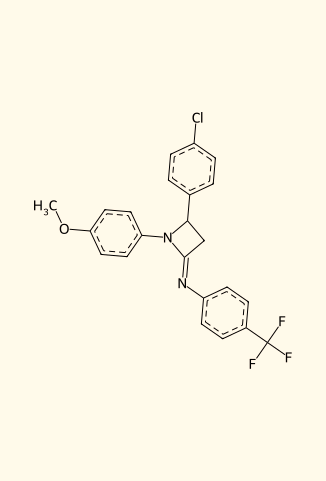 COc1ccc(N2C(=Nc3ccc(C(F)(F)F)cc3)CC2c2ccc(Cl)cc2)cc1